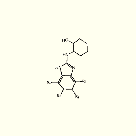 OC1CCCCC1Nc1nc2c(Br)c(Br)c(Br)c(Br)c2[nH]1